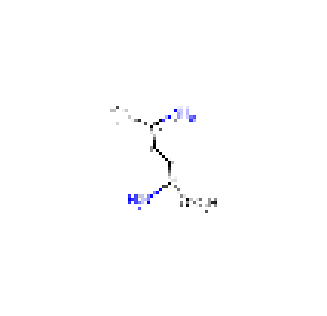 N[C@H](CC[C@@H](N)C(F)(F)F)C(=O)O